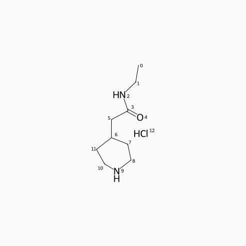 CCNC(=O)CC1CCNCC1.Cl